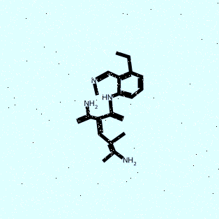 C=C(N)/C(=C/C(C)=C(\C)N)C(=C)Nc1cccc(CC)c1/C=N\C